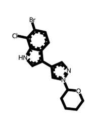 Clc1c(Br)ccc2c(-c3cnn(C4CCCCO4)c3)c[nH]c12